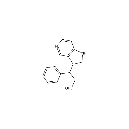 O=CCC(c1ccccc1)C1CNc2ccncc21